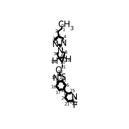 CCCc1cnc(N2C[C@@H]3[C@@H](COc4nc5ccc(-c6ccc(F)nc6)cc5s4)[C@@H]3C2)nc1